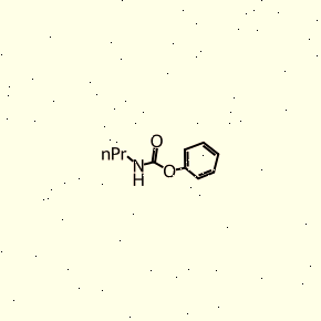 C[CH]CNC(=O)Oc1ccccc1